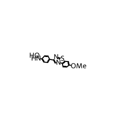 COc1ccc2c(c1)sc1nc(-c3ccc(NO)cc3)cn12